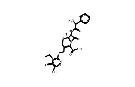 CCn1c(SCC2=C(C(=O)O)N3C(=O)C(NC(=O)C(N)c4ccccc4)[C@@H]3SC2)nnc(O)c1=O